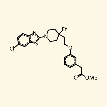 CCC1(CCOc2cccc(CC(=O)OC)c2)CCN(c2nc3ccc(Cl)cc3s2)CC1